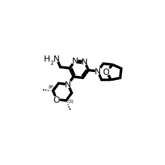 C[C@@H]1CN(c2cc(N3CC4CCC(C3)O4)nnc2CN)C[C@H](C)O1